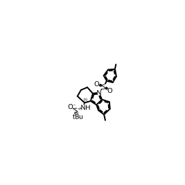 Cc1ccc(S(=O)(=O)n2c3c(c4cc(C)ccc42)[C@@H](N[S@+]([O-])C(C)(C)C)CCC3)cc1